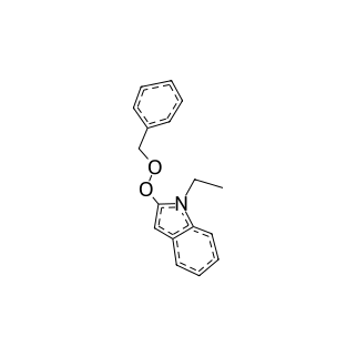 CCn1c(OOCc2ccccc2)cc2ccccc21